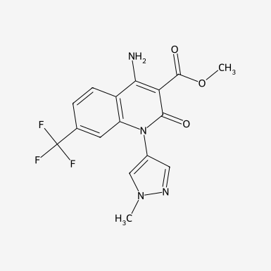 COC(=O)c1c(N)c2ccc(C(F)(F)F)cc2n(-c2cnn(C)c2)c1=O